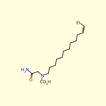 CC/C=C\CCCCCCCCCCN(CC(N)=O)C(=O)O